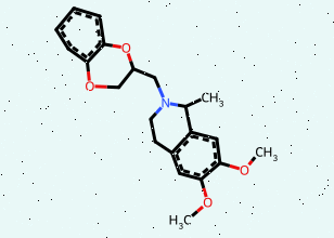 COc1cc2c(cc1OC)C(C)N(CC1COc3ccccc3O1)CC2